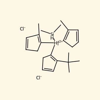 CC1=[C]([Hf+2]([C]2=C(C)C=CC2)([C]2=C(C(C)(C)C)C=CC2)[SiH](C)C)CC=C1.[Cl-].[Cl-]